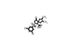 C=CCC1(CC=C)C(=O)CN(S(=O)(=O)c2cc(Cl)cc(Cl)c2)[C@@H]1C(=O)O